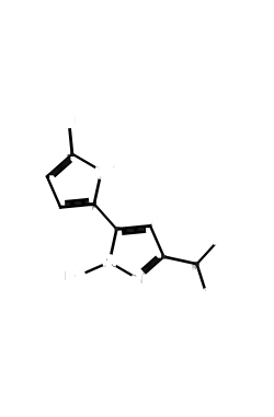 Cc1ccc(-c2cc(C(F)F)nn2C)s1